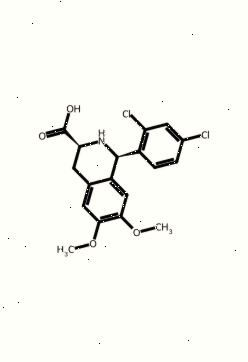 COc1cc2c(cc1OC)[C@H](c1ccc(Cl)cc1Cl)N[C@H](C(=O)O)C2